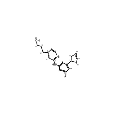 Cc1cc(Nc2nccc(SCCO)n2)cc(-c2cn[c]s2)c1